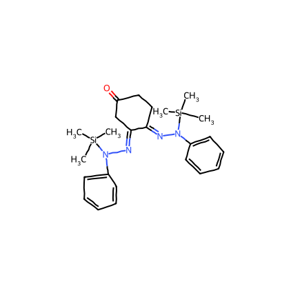 C[Si](C)(C)N(N=C1CCC(=O)CC1=NN(c1ccccc1)[Si](C)(C)C)c1ccccc1